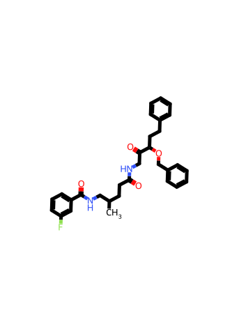 CC(CCC(=O)NCC(=O)C(CCc1ccccc1)OCc1ccccc1)CNC(=O)c1cccc(F)c1